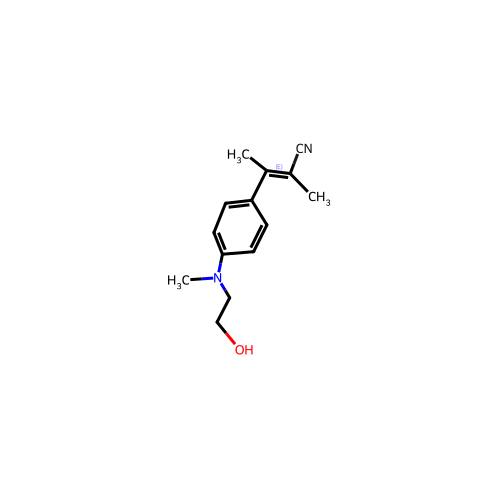 C/C(C#N)=C(/C)c1ccc(N(C)CCO)cc1